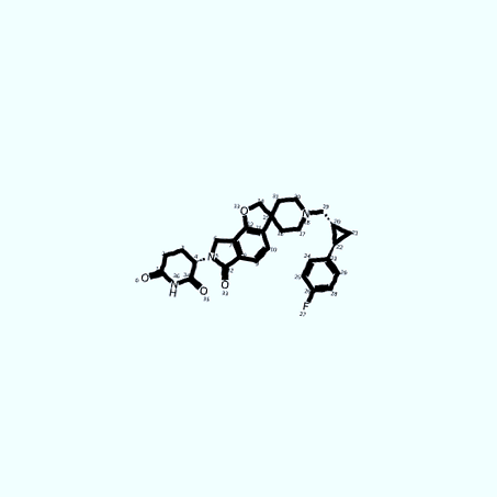 O=C1CC[C@H](N2Cc3c(ccc4c3OCC43CCN(C[C@@H]4C[C@H]4c4ccc(F)cc4)CC3)C2=O)C(=O)N1